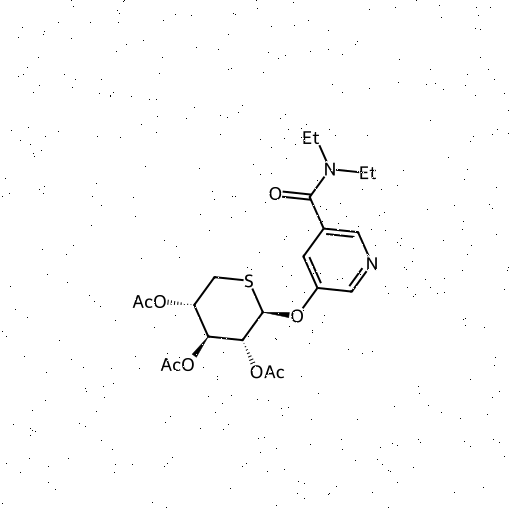 CCN(CC)C(=O)c1cncc(O[C@@H]2SC[C@@H](OC(C)=O)[C@H](OC(C)=O)[C@H]2OC(C)=O)c1